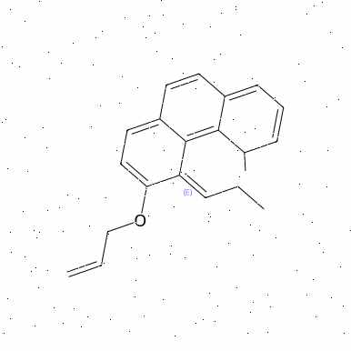 C=CCOc1ccc2ccc3c(c2/c1=C\CC)C(C)C=CC=3